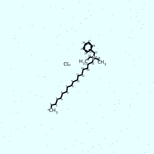 CCCCCCCCCCCCCCCCC[N+](CC)(CC)Cc1ccccc1.[Cl-]